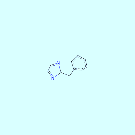 C1=NC(Cc2ccccc2)N=C1